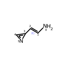 N/C=C/C1=C=N1